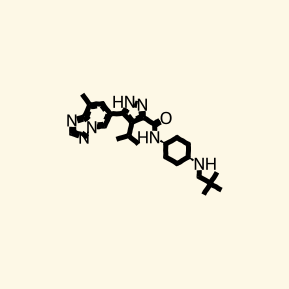 Cc1cc(-c2[nH]nc(C(=O)N[C@H]3CC[C@@H](NCC(C)(C)C)CC3)c2C(C)C)cn2ncnc12